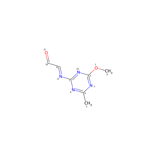 COc1nc(C)nc(N=CC=O)n1